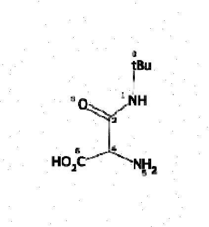 CC(C)(C)NC(=O)C(N)C(=O)O